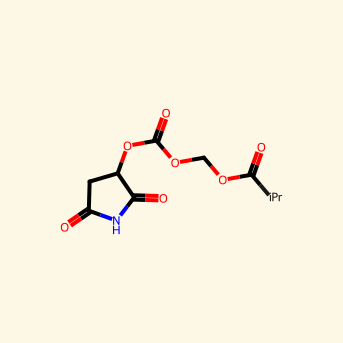 CC(C)C(=O)OCOC(=O)OC1CC(=O)NC1=O